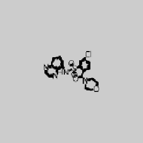 O=C(c1ccc(Cl)cc1S(=O)(=O)Nc1cccc2nccnc12)N1CCOCC1